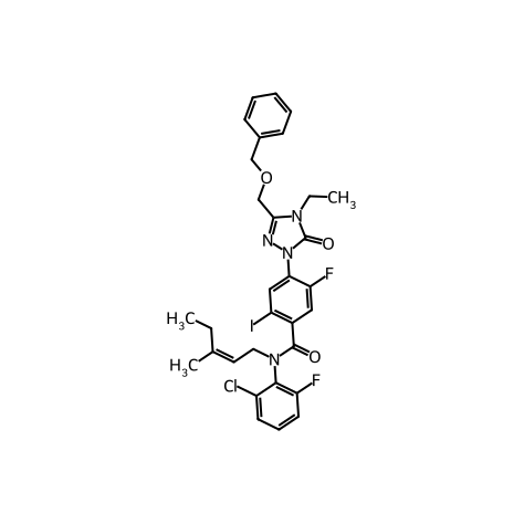 CCC(C)=CCN(C(=O)c1cc(F)c(-n2nc(COCc3ccccc3)n(CC)c2=O)cc1I)c1c(F)cccc1Cl